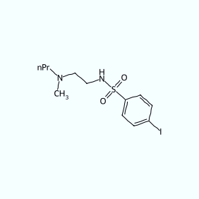 CCCN(C)CCNS(=O)(=O)c1ccc(I)cc1